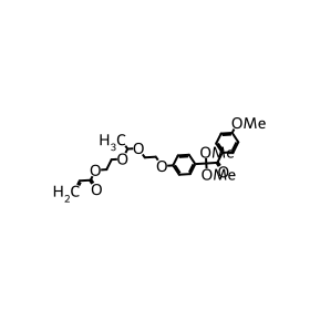 C=CC(=O)OCCOC(C)OCCOc1ccc(C(OC)(OC)C(=O)c2ccc(OC)cc2)cc1